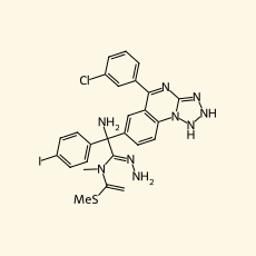 C=C(SC)N(C)/C(=N\N)C(N)(c1ccc(I)cc1)c1ccc2c(c1)C(c1cccc(Cl)c1)=NC1=NNNN12